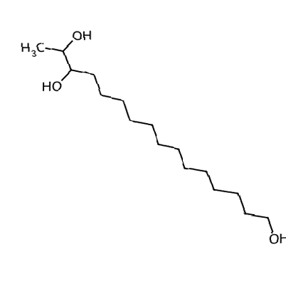 CC(O)C(O)CCCCCCCCCCCCCO